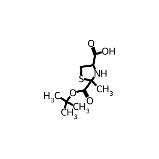 CC(C)(C)OC(=O)C1(C)NC(C(=O)O)CS1